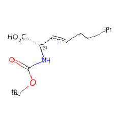 CC(C)CC/C=C/[C@H](NC(=O)OC(C)(C)C)C(=O)O